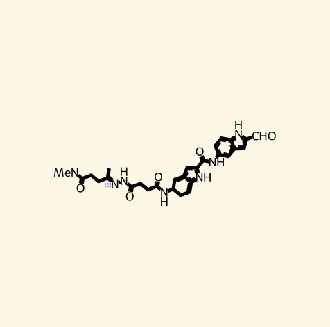 CNC(=O)CC/C(C)=N/NC(=O)CCC(=O)NC1C=c2cc(C(=O)Nc3ccc4[nH]c(C=O)cc4c3)[nH]c2=CC1